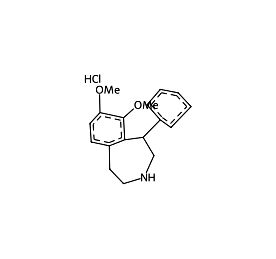 COc1ccc2c(c1OC)C(c1ccccc1)CNCC2.Cl